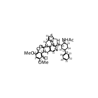 COc1cc(OC)c(Cl)c(N2Cc3cnc(N[C@@H]4CC(c5ccccc5)CC[C@@H]4NC(C)=O)nc3N(Cc3cscn3)C2=O)c1Cl